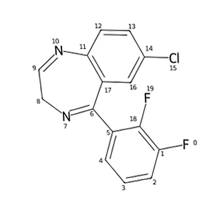 Fc1cccc(C2=NCC=Nc3ccc(Cl)cc32)c1F